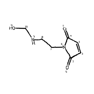 O=C1C=CC(=O)N1CCNCO